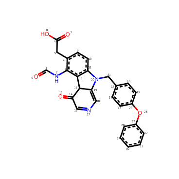 O=CNc1c(CC(=O)O)ccc2c1C1C(=O)C=NC=C1N2Cc1ccc(Oc2ccccc2)cc1